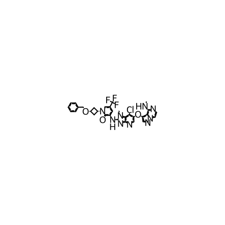 CNc1nccn2ncc(Oc3cnc4nc(Nc5cc(C(F)(F)F)cn([C@H]6C[C@@H](OCc7ccccc7)C6)c5=O)n(C)c4c3Cl)c12